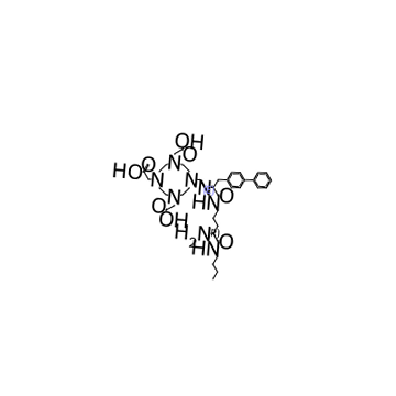 CCCCNC(=O)[C@H](N)CCCNC(=O)/C(Cc1ccc(-c2ccccc2)cc1)=N/CN1CCN(CC(=O)O)CCN(CC(=O)O)CCN(CC(=O)O)CC1